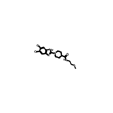 COCCNC(=O)C1CCN(c2nc3cc(Cl)c(Cl)cc3[nH]2)CC1